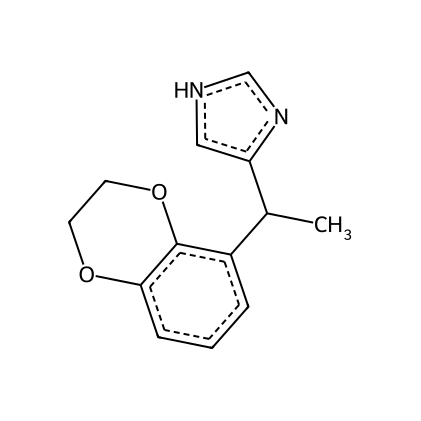 CC(c1c[nH]cn1)c1cccc2c1OCCO2